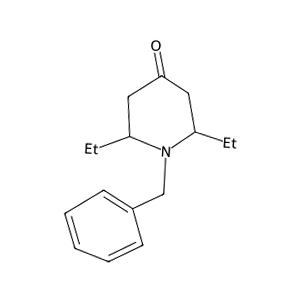 CCC1CC(=O)CC(CC)N1Cc1ccccc1